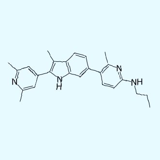 CCCNc1ccc(-c2ccc3c(C)c(-c4cc(C)nc(C)c4)[nH]c3c2)c(C)n1